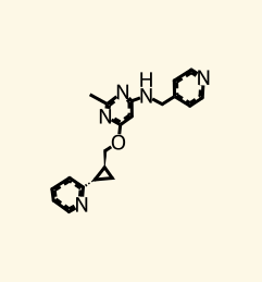 Cc1nc(NCc2ccncc2)cc(OC[C@H]2C[C@@H]2c2ccccn2)n1